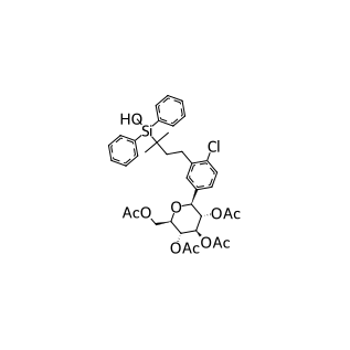 CC(=O)OC[C@H]1O[C@@H](c2ccc(Cl)c(CCC(C)(C)[Si](O)(c3ccccc3)c3ccccc3)c2)[C@H](OC(C)=O)[C@@H](OC(C)=O)[C@@H]1OC(C)=O